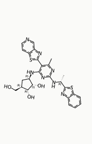 Cc1nc(N[C@H](C)c2nc3ccccc3s2)nc(N[C@@H]2C[C@H](CO)[C@@H](O)[C@H]2O)c1-c1nc2cnccc2s1